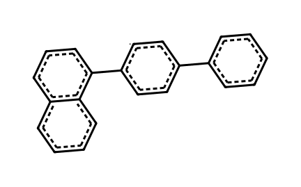 [c]1cc(-c2ccccc2)ccc1-c1cccc2ccccc12